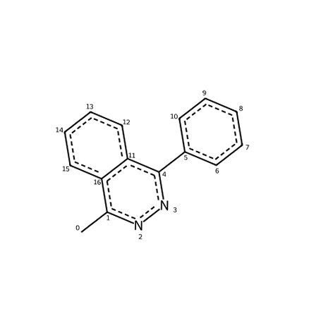 Cc1nnc(-c2ccccc2)c2ccccc12